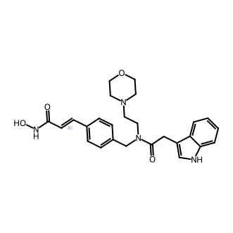 O=C(/C=C/c1ccc(CN(CCN2CCOCC2)C(=O)Cc2c[nH]c3ccccc23)cc1)NO